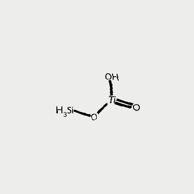 [O]=[Ti]([OH])[O][SiH3]